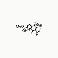 COC(O)c1ccc2c(n1)C(=O)C1=C(C2=O)S(=O)(=O)CCN1